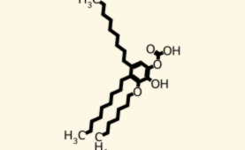 CCCCCCCCCc1cc(OC(=O)O)c(O)c(OCCCCCCC)c1CCCCCCCCC